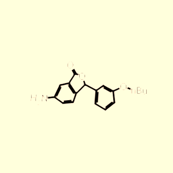 CCCCOc1cccc(C2OC(=O)c3cc(N)ccc32)c1